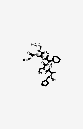 CC(C)CC(C(=O)NC(C(=O)NC(CNC(=O)OC(C)(C)C)C(=O)NCC(=O)O)C1CCCCC1)N(C)C(=O)C(C)N(CC1CCCC1)C(C)C